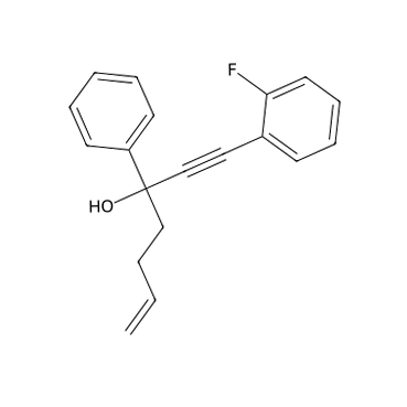 C=CCCC(O)(C#Cc1ccccc1F)c1ccccc1